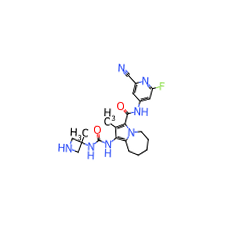 Cc1c(NC(=O)NC2(C)CNC2)c2n(c1C(=O)Nc1cc(F)nc(C#N)c1)CCCCC2